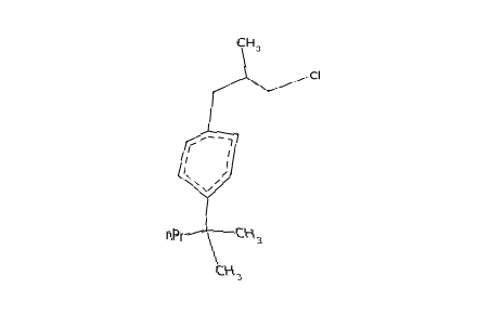 CCCC(C)(C)c1ccc(CC(C)CCl)cc1